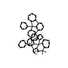 CC1(C)c2ccccc2C2(c3ccccc3-c3ccccc32)c2c(N(c3ccccc3)c3ccc(-c4cccc5c4C(c4ccccc4)(c4ccccc4)c4ccccc4-5)cc3)cccc21